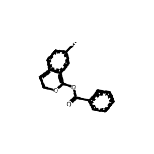 O=C(OC1=c2cc(F)ccc2=CCO1)c1ccccc1